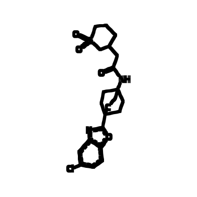 O=C(CC1CCCS(=O)(=O)C1)NC12CCC(c3nc4cc(Cl)ccc4o3)(CC1)CC2